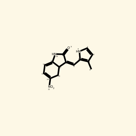 Cc1cc[nH]c1C=C1C(=O)NC2=CC=C([N+](=O)[O-])CC21